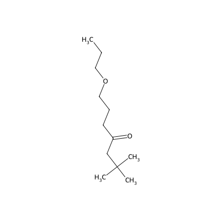 CCCOCCCC(=O)CC(C)(C)C